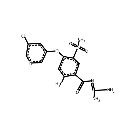 Cc1cc(Oc2cncc(Cl)c2)c(S(C)(=O)=O)cc1C(=O)N=C(N)N